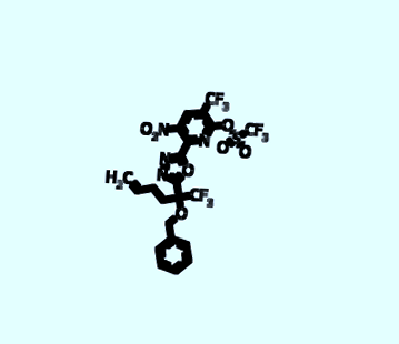 C=CCCC(OCc1ccccc1)(c1nnc(-c2nc(OS(=O)(=O)C(F)(F)F)c(C(F)(F)F)cc2[N+](=O)[O-])o1)C(F)(F)F